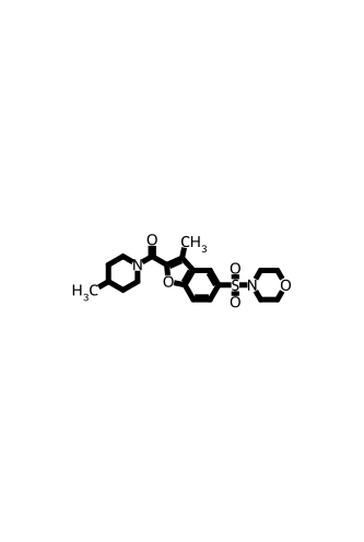 Cc1c(C(=O)N2CCC(C)CC2)oc2ccc(S(=O)(=O)N3CCOCC3)cc12